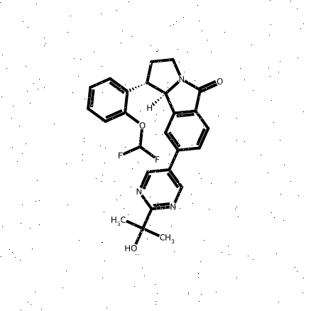 CC(C)(O)c1ncc(-c2ccc3c(c2)[C@H]2[C@H](c4ccccc4OC(F)F)CCN2C3=O)cn1